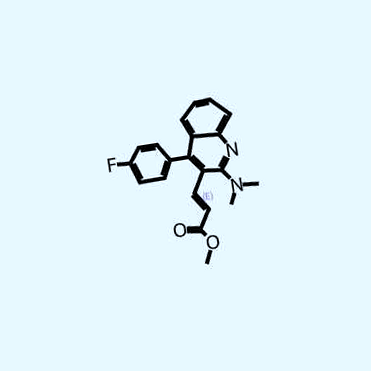 COC(=O)/C=C/c1c(N(C)C)nc2ccccc2c1-c1ccc(F)cc1